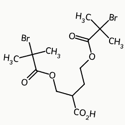 CC(C)(Br)C(=O)OCCC(COC(=O)C(C)(C)Br)C(=O)O